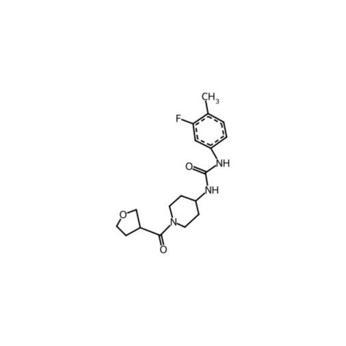 Cc1ccc(NC(=O)NC2CCN(C(=O)C3CCOC3)CC2)cc1F